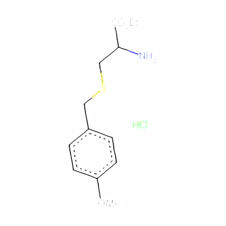 CCOC(=O)C(N)CSCc1ccc(OC)cc1.Cl